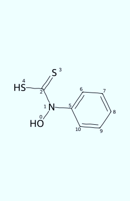 ON(C(=S)S)c1ccccc1